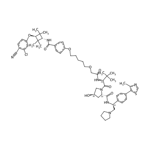 Cc1ncsc1-c1ccc([C@@H](CN2CCCC2)NC(=O)[C@@H]2C[C@@H](O)CN2C(=O)[C@@H](NC(=O)COCCCCCOc2ccc(C(=O)N[C@H]3C(C)(C)[C@H](Oc4ccc(C#N)c(Cl)c4)C3(C)C)cc2)C(C)(C)C)cc1